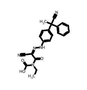 CCN(C(=O)O)C(=O)C(C#N)=NNc1ccc(C(C)(C#N)c2ccccc2)cc1